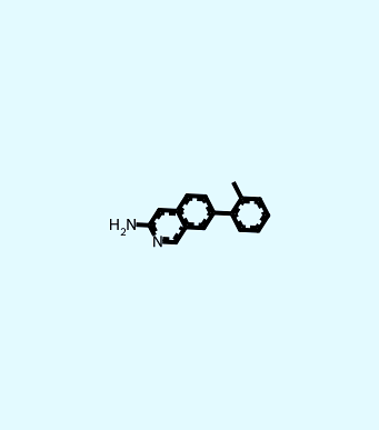 Cc1ccccc1-c1ccc2cc(N)ncc2c1